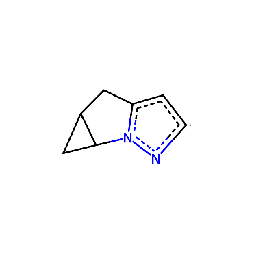 [c]1cc2n(n1)C1CC1C2